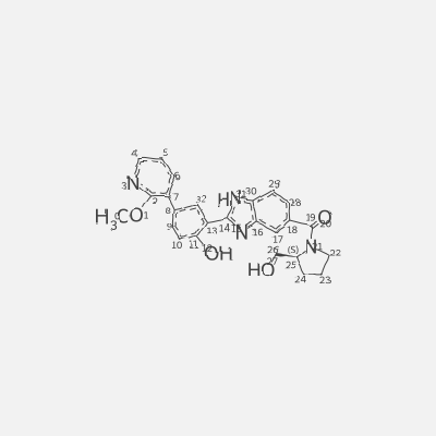 COc1ncccc1-c1ccc(O)c(-c2nc3cc(C(=O)N4CCC[C@H]4CO)ccc3[nH]2)c1